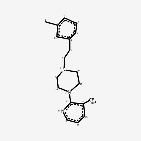 Cc1cccc(CCN2CCN(c3ncccc3C(F)(F)F)CC2)c1